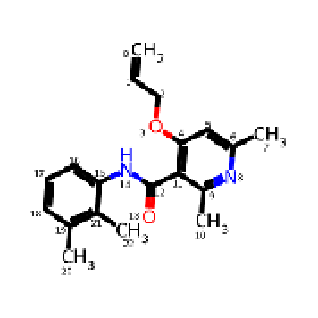 C=CCOc1cc(C)nc(C)c1C(=O)Nc1cccc(C)c1C